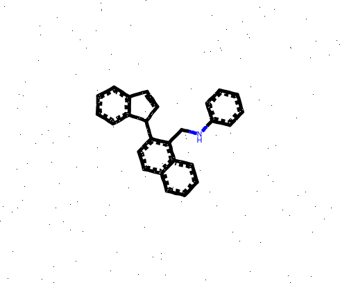 C1=CC(c2ccc3ccccc3c2CNc2ccccc2)c2ccccc21